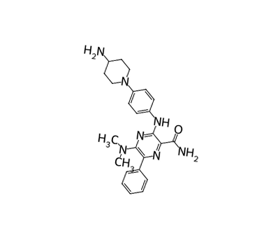 CN(C)c1nc(Nc2ccc(N3CCC(N)CC3)cc2)c(C(N)=O)nc1-c1ccccc1